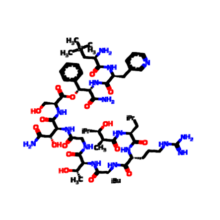 CC[C@H](C)[C@H](NC(=O)[C@@H](CCCNC(=N)N)NC(=O)[C@H](CC(C)C)NC(=O)[C@@H](C)[C@H](O)C(C)C)C(=O)N[C@H](C(=O)NCC(=O)N[C@H](C(=O)N[C@@H](CO)C(=O)O[C@H](c1ccccc1)[C@H](NC(=O)[C@H](Cc1cccnc1)NC(=O)[C@H](N)C[Si](C)(C)C)C(N)=O)[C@H](O)C(N)=O)[C@H](C)O